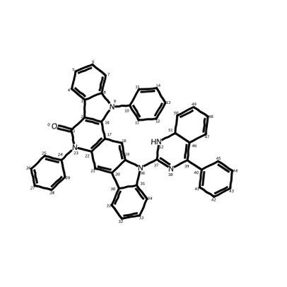 O=c1c2c3ccccc3n(-c3ccccc3)c2c2cc3c(cc2n1-c1ccccc1)c1ccccc1n3C1=NC(c2ccccc2)=C2C=CC=CC2N1